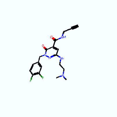 C#CCNC(=O)c1cc(NCCN(C)C)nn(Cc2ccc(F)c(F)c2)c1=O